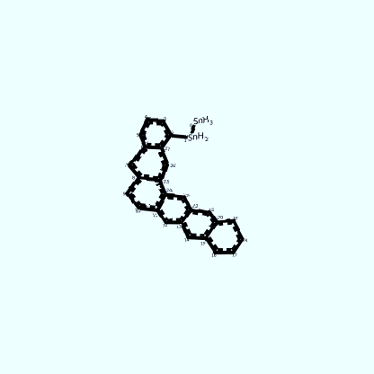 [SnH3][SnH2][c]1cccc2cc3ccc4cc5cc6ccccc6cc5cc4c3cc12